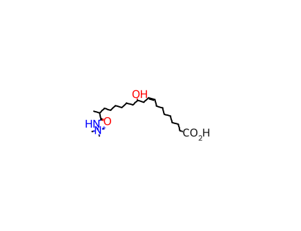 CC(CCCCCC[C@@H](O)C/C=C\CCCCCCCC(=O)O)C(=O)N[N+](C)(C)C